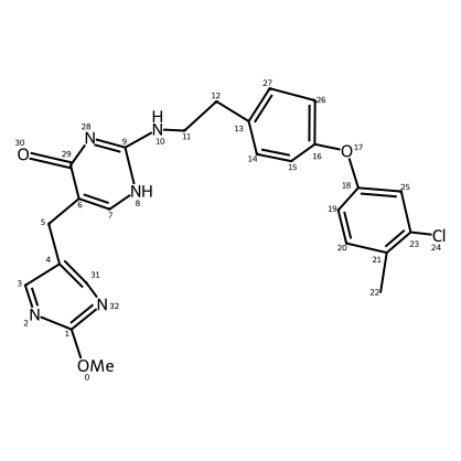 COc1ncc(Cc2c[nH]c(NCCc3ccc(Oc4ccc(C)c(Cl)c4)cc3)nc2=O)cn1